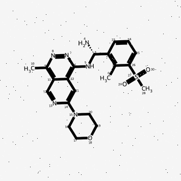 Cc1c([C@@H](N)Nc2nnc(C)c3cnc(N4CCOCC4)cc23)cccc1S(C)(=O)=O